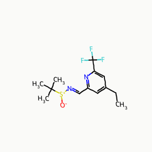 CCc1cc(C=N[S+]([O-])C(C)(C)C)nc(C(F)(F)F)c1